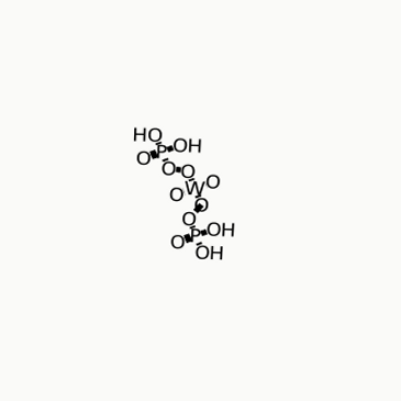 O=P(O)(O)O[O][W](=[O])(=[O])[O]OP(=O)(O)O